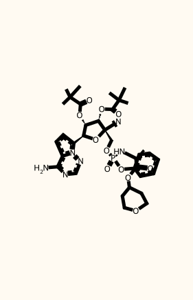 C[C@H](N[P@](=O)(OC[C@@]1(C#N)O[C@@H](c2ccc3c(N)ncnn23)[C@H](OC(=O)C(C)(C)C)[C@@H]1OC(=O)C(C)(C)C)Oc1ccccc1)C(=O)OC1CCOCC1